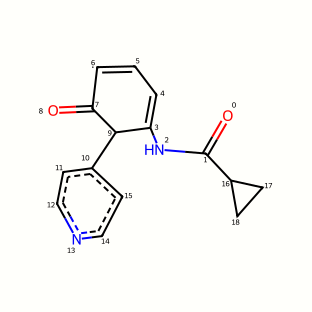 O=C(NC1=CC=[C]C(=O)C1c1ccncc1)C1CC1